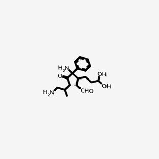 CC(CN)CC(=O)C(N)(c1ccccc1)C([CH]C=O)CCC(O)O